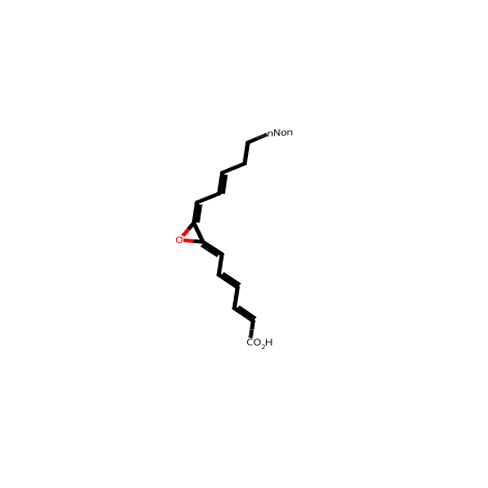 CCCCCCCCCCCC=CC=C1OC1=CC=CC=CC(=O)O